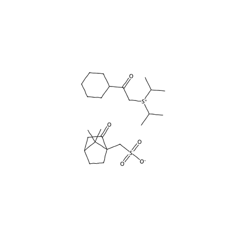 CC(C)[S+](CC(=O)C1CCCCC1)C(C)C.CC1(C)C2CCC1(CS(=O)(=O)[O-])C(=O)C2